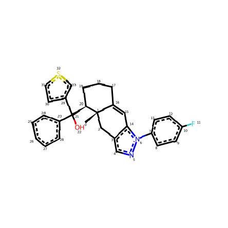 C[C@]12Cc3cnn(-c4ccc(F)cc4)c3C=C1CCC[C@@H]2C(O)(c1ccccc1)c1ccsc1